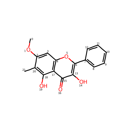 COc1cc2oc(-c3ccccc3)c(O)c(=O)c2c(O)c1C